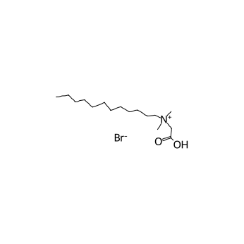 CCCCCCCCCCCC[N+](C)(C)CC(=O)O.[Br-]